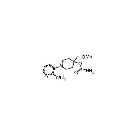 COCC1(OC(N)=O)CCN(c2cccnc2N)CC1